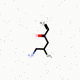 C=CC(=O)CC(C)CN